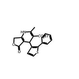 CCOC(=O)C1=C(C)NC2=C(C(=O)OC2)C1c1ccsc1-c1ccccc1